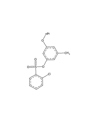 [CH2]CCOc1cc(C)cc(OS(=O)(=O)c2ccccc2Cl)c1